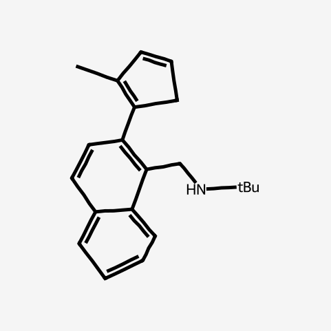 CC1=C(c2ccc3ccccc3c2CNC(C)(C)C)CC=C1